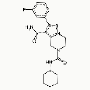 NC(=O)c1c(-c2cccc(F)c2)nn2c1CN(C(=O)NC1CCCCC1)CC2